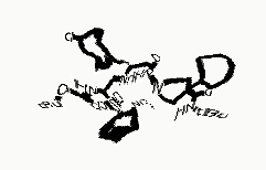 CC(C)(C)NC(=O)C1(C2CCCCC2)CCN(NC(=O)[C@@H](Cc2ccc(Cl)cc2)NCC(NC(=O)OC(C)(C)C)S(=O)(=O)c2ccccc2[N+](=O)[O-])CC1